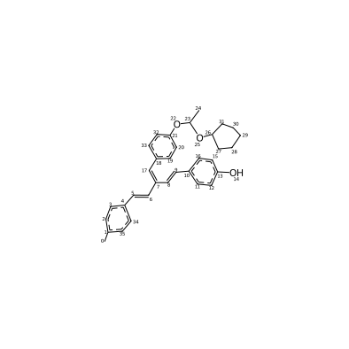 Cc1ccc(C=CC(C=Cc2ccc(O)cc2)=Cc2ccc(OC(C)OC3CCCCC3)cc2)cc1